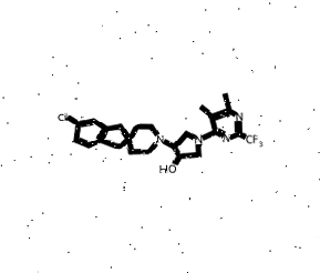 Cc1nc(C(F)(F)F)nc(N2CC(O)C(N3CCC4(CC3)Cc3ccc(Cl)cc3C4)C2)c1C